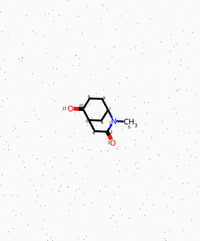 CN1C(=O)CC2CC1CCC2=O